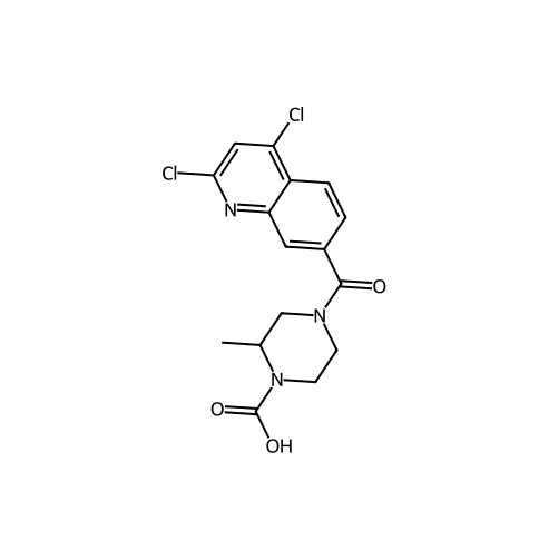 CC1CN(C(=O)c2ccc3c(Cl)cc(Cl)nc3c2)CCN1C(=O)O